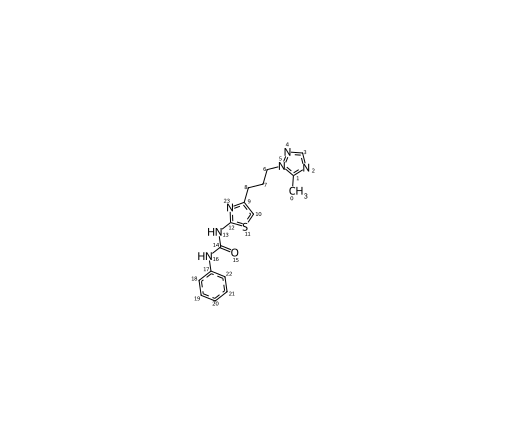 Cc1ncnn1CCCc1csc(NC(=O)Nc2ccccc2)n1